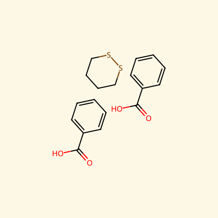 C1CCSSC1.O=C(O)c1ccccc1.O=C(O)c1ccccc1